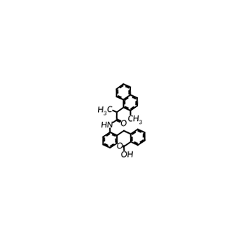 Cc1ccc2ccccc2c1C(C)C(=O)Nc1ccccc1Cc1ccccc1C(=O)O